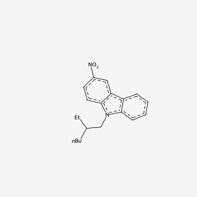 CCCCC(CC)Cn1c2cc[c]cc2c2cc([N+](=O)[O-])ccc21